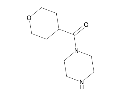 O=C(C1CCOCC1)N1CCNCC1